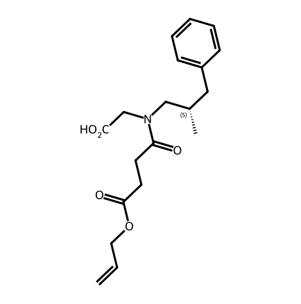 C=CCOC(=O)CCC(=O)N(CC(=O)O)C[C@@H](C)Cc1ccccc1